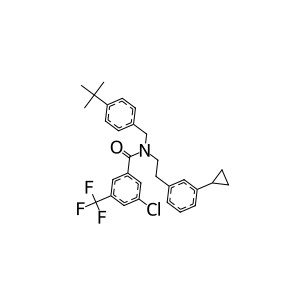 CC(C)(C)c1ccc(CN(CCc2cccc(C3CC3)c2)C(=O)c2cc(Cl)cc(C(F)(F)F)c2)cc1